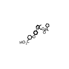 Cc1ccn(-c2ccc(O[C@H]3CCC[C@H](C(=O)O)C3)cc2)c1COC(=O)N(C)C1CCCC1